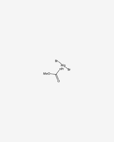 [Br][Mg][Br].[CH2]CCC(=O)OC